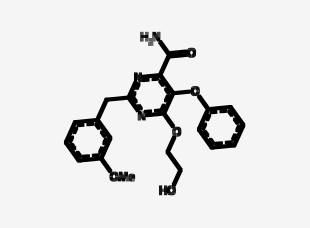 COc1cccc(Cc2nc(OCCO)c(Oc3ccccc3)c(C(N)=O)n2)c1